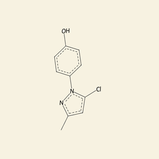 Cc1cc(Cl)n(-c2ccc(O)cc2)n1